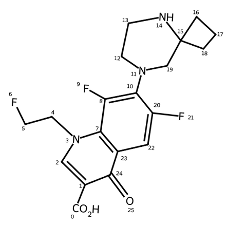 O=C(O)c1cn(CCF)c2c(F)c(N3CCNC4(CCC4)C3)c(F)cc2c1=O